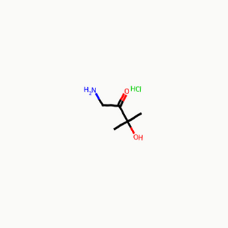 CC(C)(O)C(=O)CN.Cl